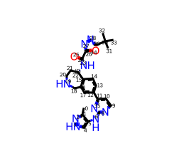 Cc1n[nH]cc1Nc1nccc(-c2ccc3c(c2)CNCC[C@@H]3NC(=O)c2nnc(C(C)(C)C)o2)n1